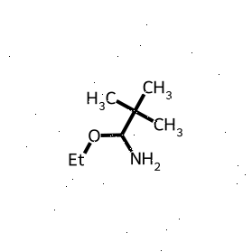 CCOC(N)C(C)(C)C